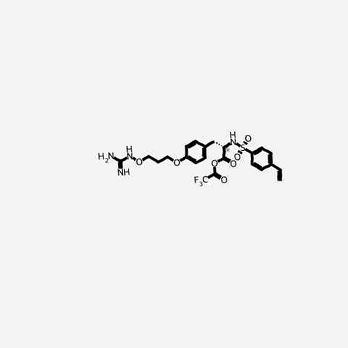 C=Cc1ccc(S(=O)(=O)N[C@@H](Cc2ccc(OCCCONC(=N)N)cc2)C(=O)OC(=O)C(F)(F)F)cc1